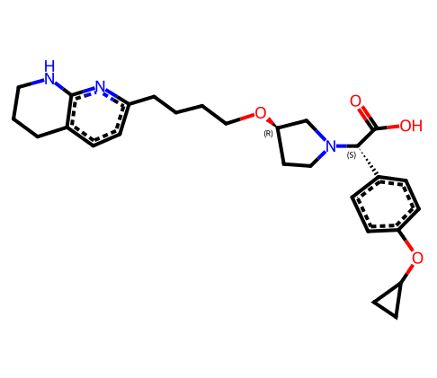 O=C(O)[C@H](c1ccc(OC2CC2)cc1)N1CC[C@@H](OCCCCc2ccc3c(n2)NCCC3)C1